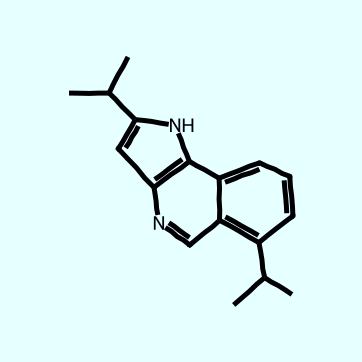 CC(C)c1cc2ncc3c(C(C)C)cccc3c2[nH]1